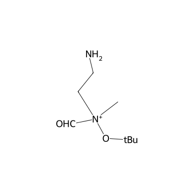 CC(C)(C)O[N+](C)(C=O)CCN